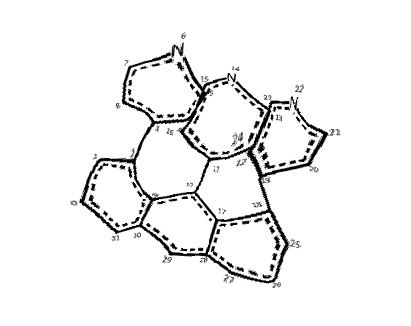 c1cc(-c2ccncc2)c2c(-c3ccncc3)c3c(-c4ccncc4)cccc3cc2c1